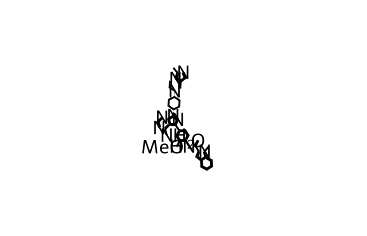 COc1cc(-c2nn([C@H]3CC[C@@H](N4CCn5c(cnc5C)C4)CC3)c3ncnc(N)c23)ccc1NC(=O)c1cc2ccccc2n1C